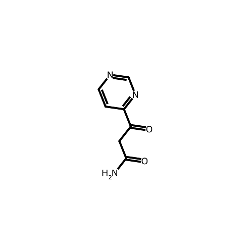 NC(=O)CC(=O)c1ccncn1